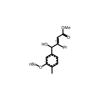 CCCCOc1cc(C(O)/C(=C/C(=O)OC)C(C)C)ccc1C